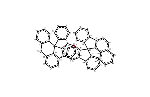 c1ccc(C2(c3ccccc3)c3ccccc3Oc3cccc(-c4ccc5c(c4)-c4ccccc4C54c5ccccc5-c5ccc6ccccc6c54)c32)cc1